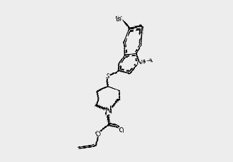 C=COC(=O)N1CCC(Sc2c[nH]c3ccc(Br)cc23)CC1